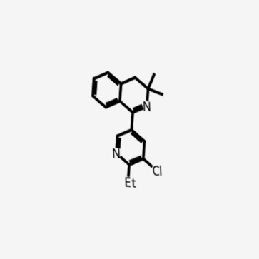 CCc1ncc(C2=NC(C)(C)Cc3ccccc32)cc1Cl